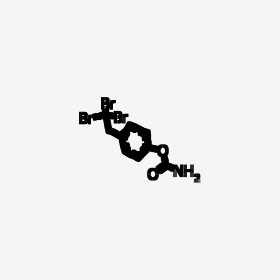 NC(=O)Oc1ccc(CC(Br)(Br)Br)cc1